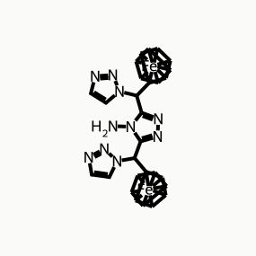 Nn1c(C(n2ccnn2)[C]23[CH]4[CH]5[CH]6[CH]2[Fe]56432789[CH]3[CH]2[CH]7[CH]8[CH]39)nnc1C(n1ccnn1)[C]12[CH]3[CH]4[CH]5[CH]1[Fe]45321678[CH]2[CH]1[CH]6[CH]7[CH]28